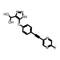 OC(O)c1nn[nH]c1Oc1ccc(C#Cc2cnc(F)cn2)cc1